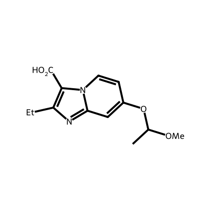 CCc1nc2cc(OC(C)OC)ccn2c1C(=O)O